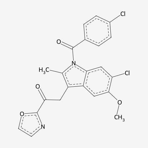 COc1cc2c(CC(=O)c3ncco3)c(C)n(C(=O)c3ccc(Cl)cc3)c2cc1Cl